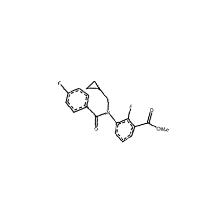 COC(=O)c1cccc(N(CC2CC2)C(=O)c2ccc(F)cc2)c1F